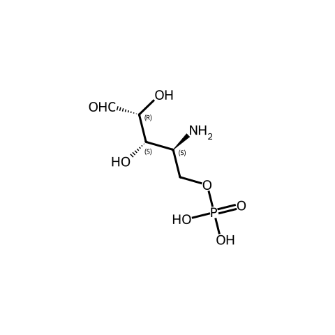 N[C@@H](COP(=O)(O)O)[C@H](O)[C@@H](O)C=O